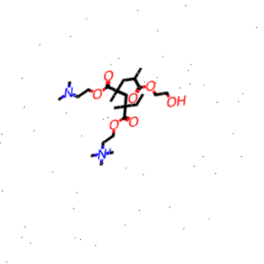 CCC(C)(CC(C)(CC(C)C(=O)OCCO)C(=O)OCCN(C)C)C(=O)OCC[N+](C)(C)C